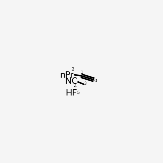 C#CCCC.CC#N.F